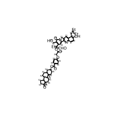 CCN(CC)Cc1c(O)ccc2nc3c(cc12)Cn1c-3cc([C@](C=O)(CC)OC(=O)COc2ccc(C(=O)O[C@@H]3CC[C@@]4(C)C(CCC5C4CC[C@]4(C)C(=O)CCC54)C3)cc2)c(CO)c1=O